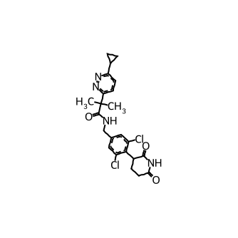 CC(C)(C(=O)NCc1cc(Cl)c(C2CCC(=O)NC2=O)c(Cl)c1)c1ccc(C2CC2)nn1